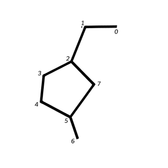 C[CH]C1CCC(C)C1